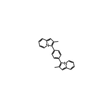 Cc1cc2ccccn2c1-c1ccc(-c2c(C)cc3ccccn23)cc1